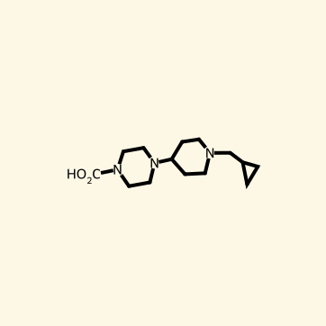 O=C(O)N1CCN(C2CCN(CC3CC3)CC2)CC1